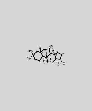 CC[C@@H]1C[C@H]2C[C@](C)(O)CC[C@]2(C)[C@H]2CC[C@]3(C)[C@@H](C#N)CC[C@H]3[C@H]12